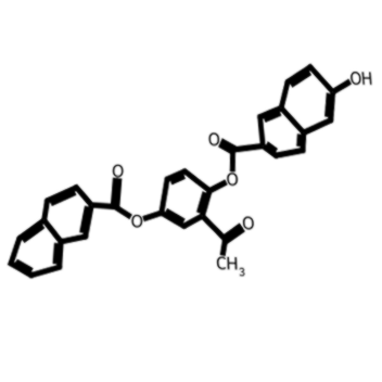 CC(=O)c1cc(OC(=O)c2ccc3ccccc3c2)ccc1OC(=O)c1ccc2cc(O)ccc2c1